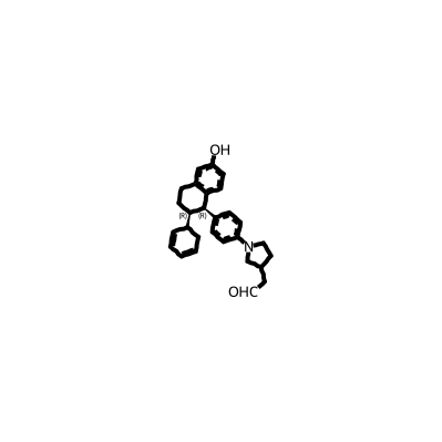 O=CCC1CCN(c2ccc([C@@H]3c4ccc(O)cc4CC[C@@H]3C3C=CC=CC3)cc2)C1